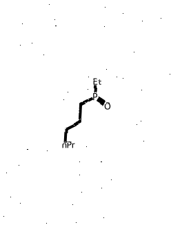 CCCCCC[P](=O)CC